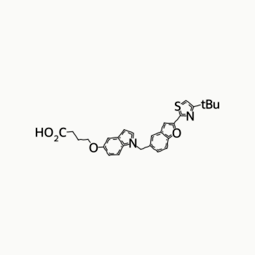 CC(C)(C)c1csc(-c2cc3cc(Cn4ccc5cc(OCCCC(=O)O)ccc54)ccc3o2)n1